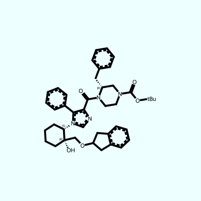 CC(C)(C)OC(=O)N1CCN(C(=O)c2ncn([C@H]3CCCC[C@]3(O)COC3Cc4ccccc4C3)c2-c2ccccc2)[C@H](Cc2ccccc2)C1